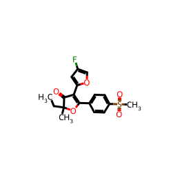 CCC1(C)OC(c2ccc(S(C)(=O)=O)cc2)=C(c2cc(F)co2)C1=O